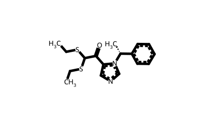 CCSC(SCC)C(=O)c1cncn1[C@H](C)c1ccccc1